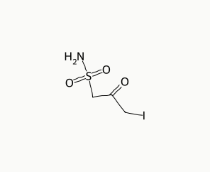 NS(=O)(=O)CC(=O)CI